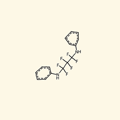 FC(F)(Nc1ccccc1)C(F)(F)C(F)(F)Nc1ccccc1